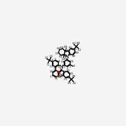 Cc1cc(N(c2ccc(C(C)(C)C)cc2-c2ccccc2)c2coc3cc(C(C)(C)C)ccc23)cc(N2c3ccc(C(C)(C)C)cc3[C@@]3(C)CCCCC23C)c1